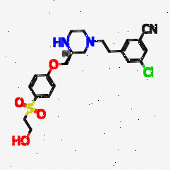 N#Cc1cc(Cl)cc(CCN2CCN[C@H](COc3ccc(S(=O)(=O)CCO)cc3)C2)c1